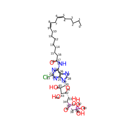 CCCCC/C=C\C/C=C\CCCCCCCC(=O)Nc1nc(Cl)nc2c1ncn2[C@@H]1O[C@H](CCP(=O)(O)CP(=O)(O)O)[C@H](O)C1O